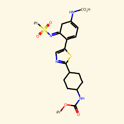 CC(C)OC(=O)NC1CCC(c2ncc(C3=CC=C(NC(=O)O)CC3=NS(=O)(=O)C(C)C)s2)CC1